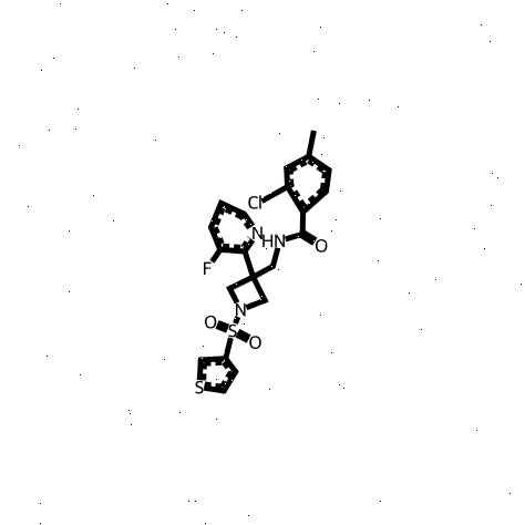 Cc1ccc(C(=O)NCC2(c3ncccc3F)CN(S(=O)(=O)c3ccsc3)C2)c(Cl)c1